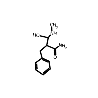 CNC(O)C(Cc1ccccc1)C(N)=O